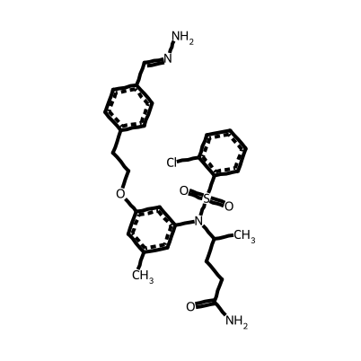 Cc1cc(OCCc2ccc(C=NN)cc2)cc(N(C(C)CCC(N)=O)S(=O)(=O)c2ccccc2Cl)c1